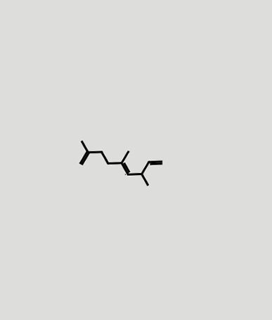 C=CC(C)/[C]=C(\C)CCC(=C)C